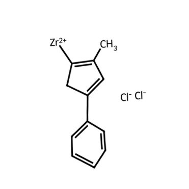 CC1=[C]([Zr+2])CC(c2ccccc2)=C1.[Cl-].[Cl-]